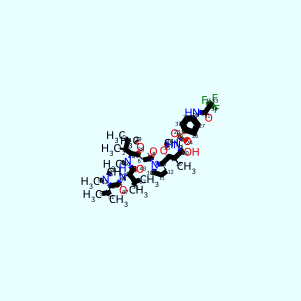 CC[C@H](C)[C@@H]([C@@H](CC(=O)N1CCC[C@H]1[C@H](OC)[C@@H](C)C(O)NS(=O)(=O)c1ccc(NC(=O)C(F)(F)F)cc1)OC)N(C)C(=O)[C@@H](NC(=O)[C@H](C(C)C)N(C)C)C(C)C